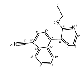 CCSc1ncccc1-c1ccc(C#N)c2ccccc12